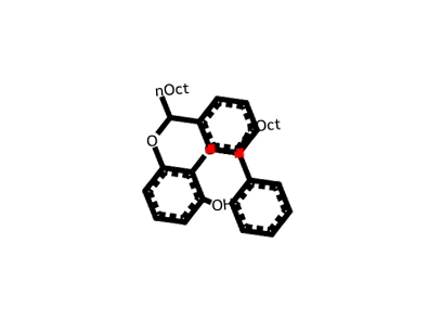 CCCCCCCCC(Oc1cccc(O)c1OC(CCCCCCCC)c1ccccc1)c1ccccc1